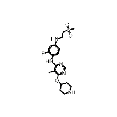 Cc1c(Nc2ccc(NCCS(C)(=O)=O)cc2F)ncnc1OC1CCNCC1